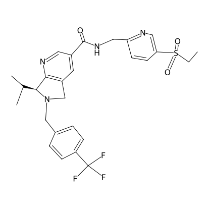 CCS(=O)(=O)c1ccc(CNC(=O)c2cnc3c(c2)CN(Cc2ccc(C(F)(F)F)cc2)[C@H]3C(C)C)nc1